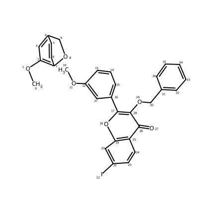 COc1cc2ccc1OC2.COc1cccc(-c2oc3cc(I)ccc3c(=O)c2OCc2ccccc2)c1